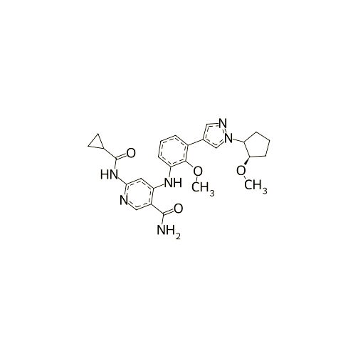 COc1c(Nc2cc(NC(=O)C3CC3)ncc2C(N)=O)cccc1-c1cnn(C2CCC[C@H]2OC)c1